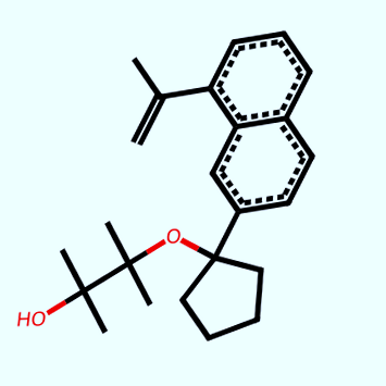 C=C(C)c1cccc2ccc(C3(OC(C)(C)C(C)(C)O)CCCC3)cc12